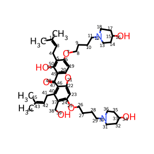 CC(C)=CCc1c(OCCCCN2CCC(O)CC2)cc2oc3cc(OCCCCN4CCC(O)CC4)c(CO)c(CC=C(C)C)c3c(=O)c2c1O